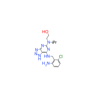 CC(C)N(CCO)c1nc(NCc2c(N)cccc2Cl)c2[nH]nnc2n1